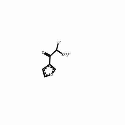 CCC(C(=O)O)C(=O)c1ccoc1